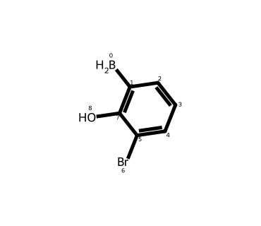 Bc1cccc(Br)c1O